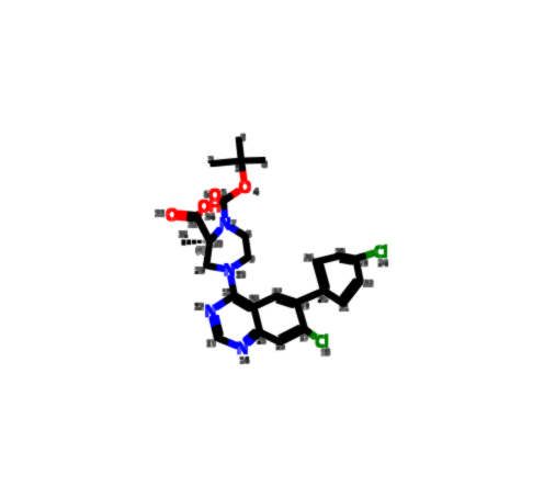 CC(C)(C)OC(=O)N1CCN(c2ncnc3cc(Cl)c(-c4ccc(Cl)cc4)cc23)C[C@@]1(C)C(=O)O